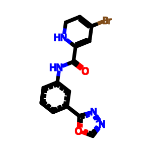 O=C(Nc1cccc(-c2nnco2)c1)C1=CC(Br)=CCN1